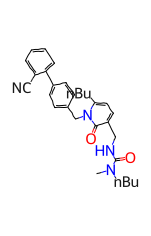 CCCCc1ccc(CNC(=O)N(C)CCCC)c(=O)n1Cc1ccc(-c2ccccc2C#N)cc1